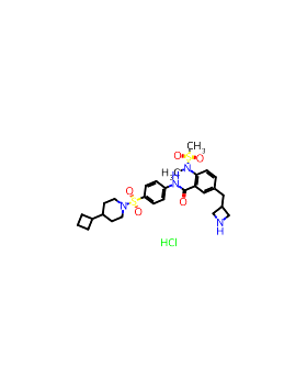 CN(c1ccc(CC2CNC2)cc1C(=O)Nc1ccc(S(=O)(=O)N2CCC(C3CCC3)CC2)cc1)S(C)(=O)=O.Cl